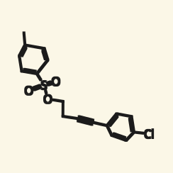 Cc1ccc(S(=O)(=O)OCCC#Cc2ccc(Cl)cc2)cc1